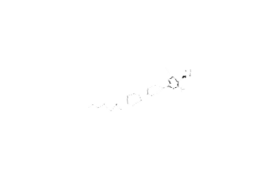 CCCCCCC[C@H]1CC[C@H](C2CCC(c3cc(F)c(C#N)c(F)c3)CC2)CC1